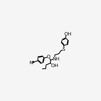 CCCC(O)C(NCCCSc1ccc(O)cc1)Oc1ccc(C#N)cc1